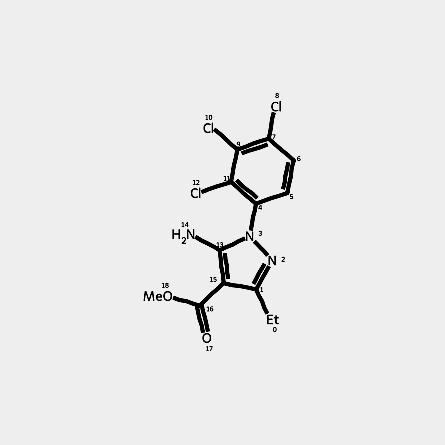 CCc1nn(-c2ccc(Cl)c(Cl)c2Cl)c(N)c1C(=O)OC